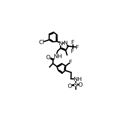 Cc1c(C(F)(F)F)nn(-c2cccc(Cl)c2)c1CNC(=O)C(C)c1ccc(CCNS(C)(=O)=O)c(F)c1